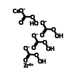 O=C([O-])OO.O=C([O-])OO.O=C([O-])OO.O=C([O-])OO.[Ce].[Zr+4]